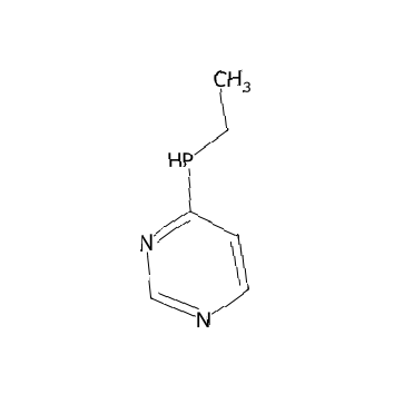 CCPc1ccncn1